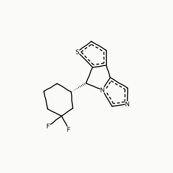 FC1(F)CCC[C@H](C2c3sccc3-c3cncn32)C1